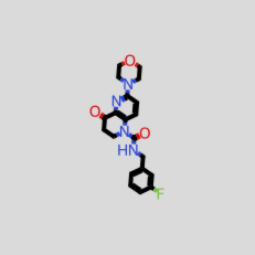 O=C1CCN(C(=O)NCc2cccc(F)c2)c2ccc(N3CCOCC3)nc21